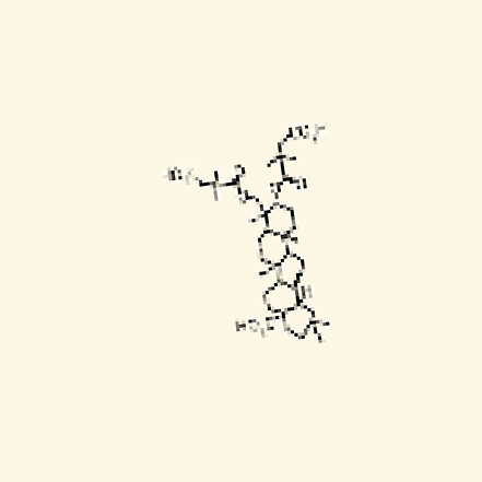 CC1(C)CC[C@]2(C(=O)O)CC[C@]3(C)C(=CCC4[C@@]5(C)CC[C@H](OC(=O)C(C)(C)CC(=O)O)[C@@](C)(COC(=O)C(C)(C)CC(=O)O)C5CC[C@]43C)[C@@H]2C1